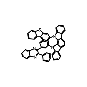 c1ccc(-c2nc3ccccc3nc2-c2cccc(-n3c4ccccc4c4ccc5c6ccccc6n(-c6ccc7c(c6)sc6ccccc67)c5c43)c2)cc1